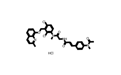 CC(=O)N(C)c1ccc(C=CC(=O)NCC(=O)N(C)c2ccc(Cl)c(COc3cccc4ccc(C)nc34)c2Cl)cc1.Cl